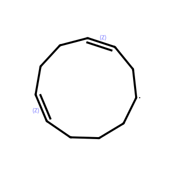 [CH]1C/C=C\CC/C=C\CCC1